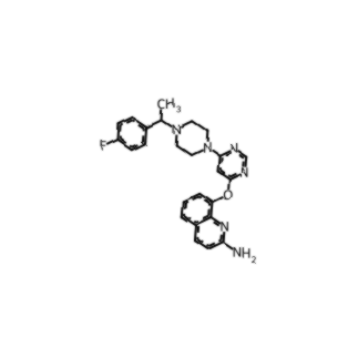 CC(c1ccc(F)cc1)N1CCN(c2cc(Oc3cccc4ccc(N)nc34)ncn2)CC1